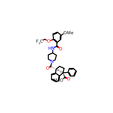 COC(=O)[C@]1(c2ccccc2)CC[C@@H](C(=O)N2CCC(NC(=O)c3cc(OC)ccc3OCC(F)(F)F)CC2)c2ccccc21